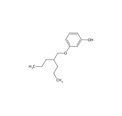 CCCC(CCC)COc1cccc(O)c1